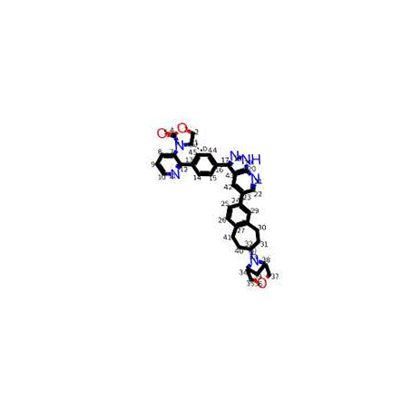 C[C@H]1COC(=O)N1c1cccnc1-c1ccc(-c2n[nH]c3ncc(-c4ccc5c(c4)CC[C@@H](N4C6COCC4C6)CC5)cc23)cc1